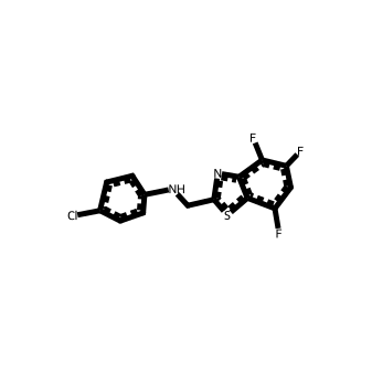 Fc1cc(F)c2sc(CNc3ccc(Cl)cc3)nc2c1F